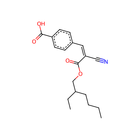 CCCCC(CC)COC(=O)C(C#N)=Cc1ccc(C(=O)O)cc1